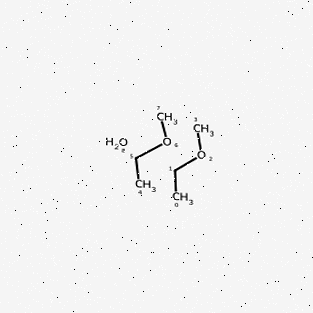 CCOC.CCOC.O